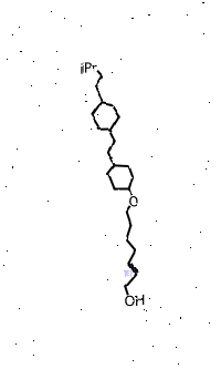 CC(C)CCC1CCC(CCC2CCC(OCCCC/C=C/CO)CC2)CC1